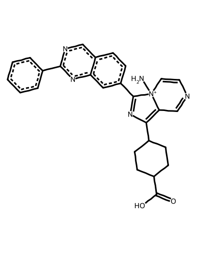 N[N+]12C=CN=CC1=C(C1CCC(C(=O)O)CC1)N=C2c1ccc2cnc(-c3ccccc3)nc2c1